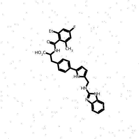 CCc1cc(F)cc(C)c1C(=O)NC(Cc1ccc(-c2ccc(CNc3nc4ccccc4[nH]3)[nH]2)cc1)C(=O)O